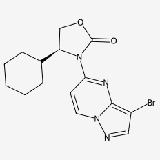 O=C1OC[C@H](C2CCCCC2)N1c1ccn2ncc(Br)c2n1